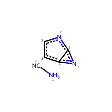 N#CN.c1cc2nc-2n1